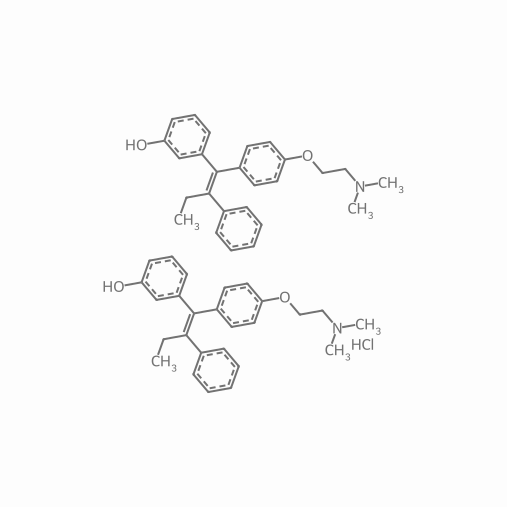 CCC(=C(c1ccc(OCCN(C)C)cc1)c1cccc(O)c1)c1ccccc1.CCC(=C(c1ccc(OCCN(C)C)cc1)c1cccc(O)c1)c1ccccc1.Cl